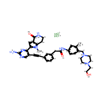 Cl.Cl.Cn1c(-c2nc(N)ncc2C#Cc2cccc(CC(=O)Nc3ccc(CN4CCN(CCO)CC4)c(C(F)(F)F)c3)c2)cc2c1CCNC2=O